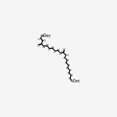 CCCCCCCCCCCCCCCCCCCCC(C)CCCCCCCC(C)CCCCCCCCCCCC